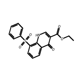 CCOC(=O)c1c[nH]c2c(S(=O)(=O)c3ccccc3)cccc2c1=O